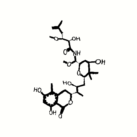 C=C(C)C[C@@H](OC)[C@H](O)C(=O)NC(OC)[C@@H]1C[C@@H](O)C(C)(C)[C@@H](C[C@H](O)C(C)[C@H]2Cc3c(C)c(O)cc(O)c3C(=O)O2)O1